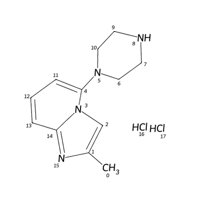 Cc1cn2c(N3CCNCC3)cccc2n1.Cl.Cl